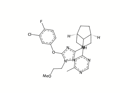 COCCn1nc(NC2[C@@H]3CC[C@H]2CN(c2cc(C)ncn2)C3)nc1Oc1ccc(F)c(Cl)c1